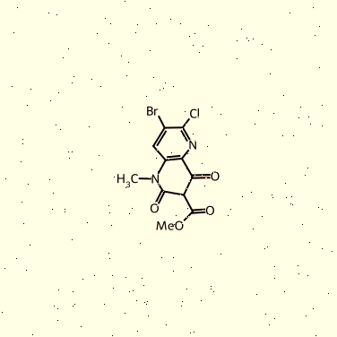 COC(=O)C1C(=O)c2nc(Cl)c(Br)cc2N(C)C1=O